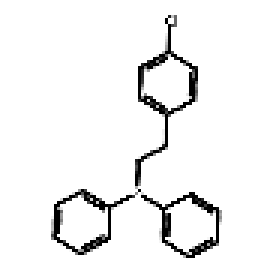 Clc1ccc(CCP(c2ccccc2)c2ccccc2)cc1